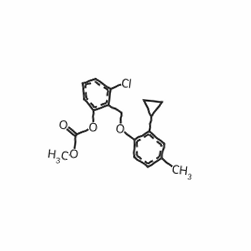 COC(=O)Oc1cccc(Cl)c1COc1ccc(C)cc1C1CC1